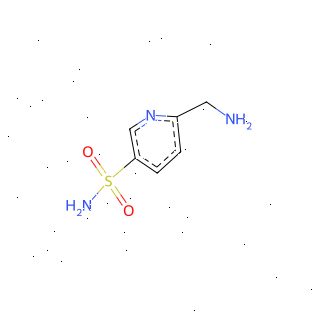 NCc1ccc(S(N)(=O)=O)cn1